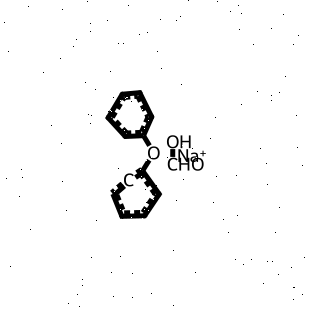 O=[C-]O.[Na+].c1ccc(Oc2ccccc2)cc1